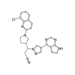 N#CCC(C1CCN(c2ccc3cccc(Cl)c3n2)C1)n1cc(-c2ncnc3[nH]ccc23)cn1